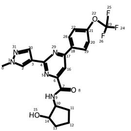 Cn1cc(-c2nc(C(=O)NC3CCCC3O)cc(-c3ccc(OC(F)(F)F)cc3)n2)cn1